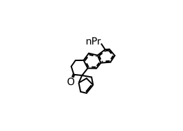 CCCc1cccc2cc3c(cc12)CCC(=O)C31CC2=CCC1C2